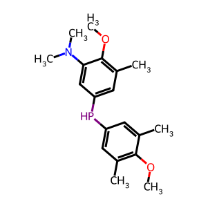 COc1c(C)cc(Pc2cc(C)c(OC)c(N(C)C)c2)cc1C